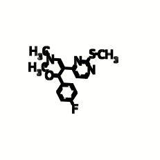 CSc1nccc(C(=CN(C)C)C(=O)c2ccc(F)cc2)n1